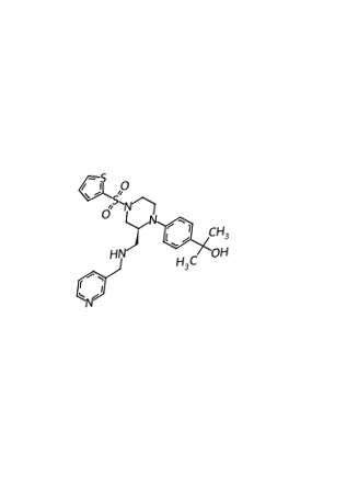 CC(C)(O)c1ccc(N2CCN(S(=O)(=O)c3cccs3)C[C@@H]2CNCc2cccnc2)cc1